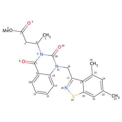 COC(=O)CC(C)n1c(=O)c2ccccc2n(Cc2nsc3cc(C)cc(C)c23)c1=O